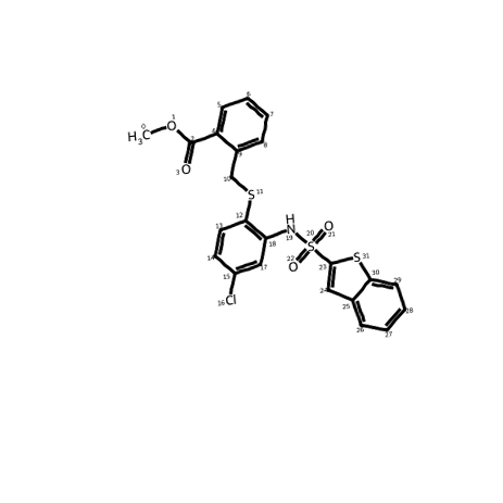 COC(=O)c1ccccc1CSc1ccc(Cl)cc1NS(=O)(=O)c1cc2ccccc2s1